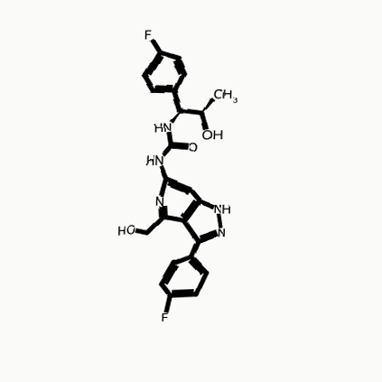 C[C@@H](O)[C@@H](NC(=O)Nc1cc2[nH]nc(-c3ccc(F)cc3)c2c(CO)n1)c1ccc(F)cc1